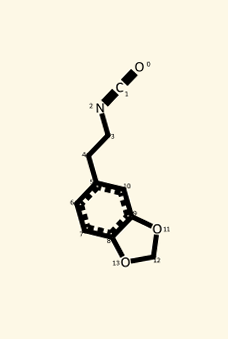 O=C=NCCc1ccc2c(c1)OCO2